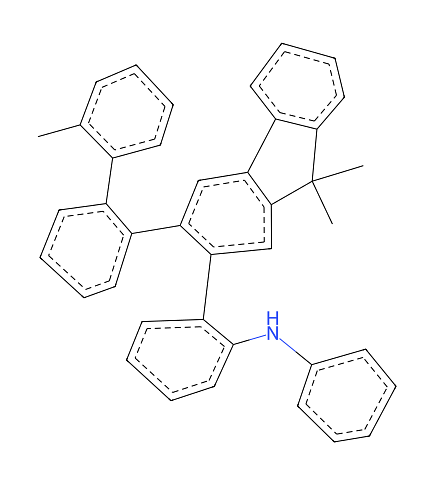 Cc1ccccc1-c1ccccc1-c1cc2c(cc1-c1ccccc1Nc1ccccc1)C(C)(C)c1ccccc1-2